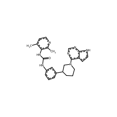 Cc1ccnc(C)c1NC(=O)Nc1cccc(C2CCCN(c3ncnc4[nH]ccc34)C2)c1